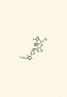 CCCOCn1nc(C)c(-c2ccc(NC(=O)C(c3nnc(-c4c(F)cnn4C)n3COCCS(C)(C)C)C(C3CC3)C3CC3)cc2)c1C